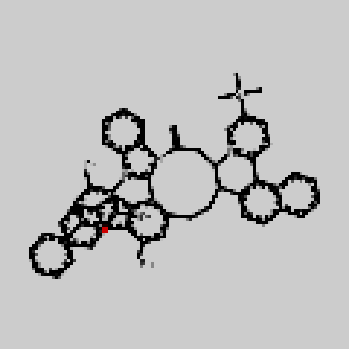 C=C1CC2C(CCc3cc(C(C)(C)C)c4c(sc5ccccc54)c3-c3n(-c4c(C(C)C)cc(-c5ccccc5)cc4C(C)C)c4ccccc4[n+]31)c1ccc3ccccc3c1-c1ccc([Si](C)(C)C)c[n+]12